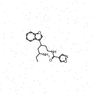 CCC(N)CC(CCNC(=O)c1cnoc1)c1coc2ccccc12